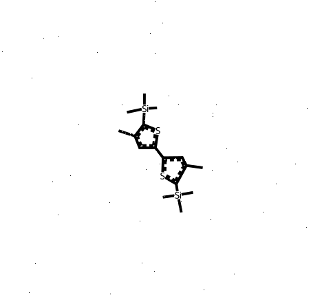 Cc1cc(-c2cc(C)c([Si](C)(C)C)s2)sc1[Si](C)(C)C